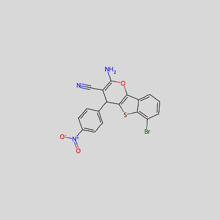 N#CC1=C(N)Oc2c(sc3c(Br)cccc23)C1c1ccc([N+](=O)[O-])cc1